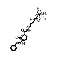 CC(C)(C)OC(=O)NCCCONC(=O)[C@@H]1CC[C@@H]2CN1C(=O)N2OCc1ccccc1